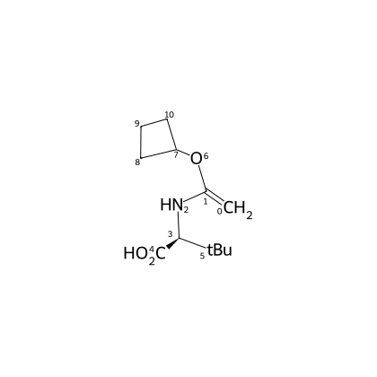 C=C(N[C@H](C(=O)O)C(C)(C)C)OC1CCC1